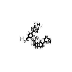 Cc1nc(-c2ccc(C)c(NC(=O)c3cnc4ccc(-c5cncnc5)cn34)c2)no1